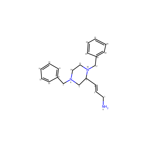 NCC=CC1CN(Cc2ccccc2)CCN1Cc1ccccc1